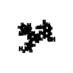 C#Cc1c(F)ccc2cc(O)cc(Cn3cnc4c(N5CC(C)(N)C5)nc(N5C[C@H]6CC[C@@H](C5)N6)nc43)c12